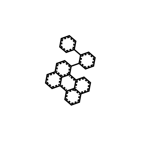 c1ccc(-c2ccccc2-c2ccc3cccc4c5cccc6cccc(c2c34)c65)cc1